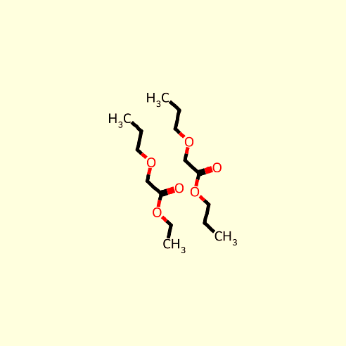 CCCOCC(=O)OCC.CCCOCC(=O)OCCC